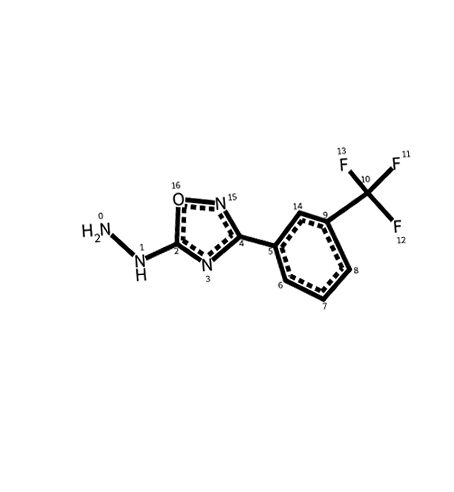 NNc1nc(-c2cccc(C(F)(F)F)c2)no1